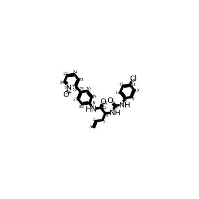 C=CCC(NC(=O)Nc1ccc(Cl)cc1)C(=O)Nc1ccc(-c2cccc[n+]2[O-])cc1